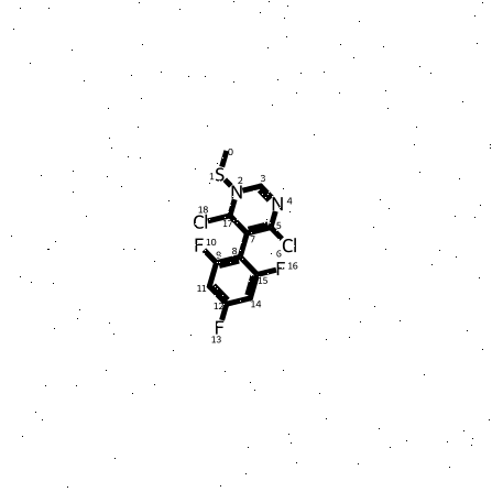 CSN1C=NC(Cl)=C(c2c(F)cc(F)cc2F)C1Cl